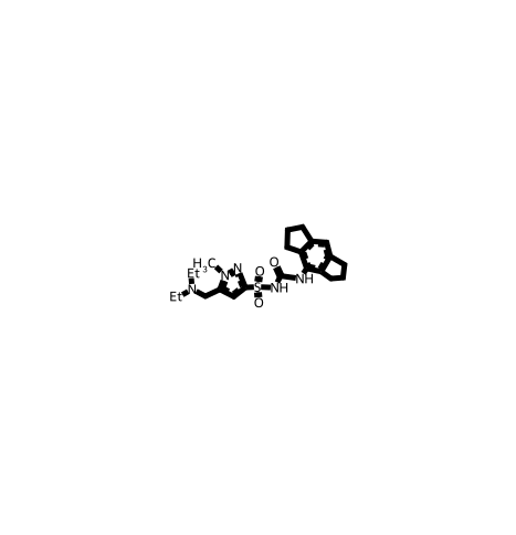 CCN(CC)Cc1cc(S(=O)(=O)NC(=O)Nc2c3c(cc4c2CCC4)CCC3)nn1C